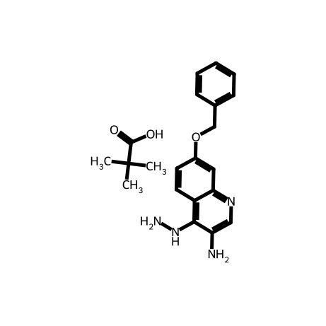 CC(C)(C)C(=O)O.NNc1c(N)cnc2cc(OCc3ccccc3)ccc12